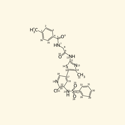 Cc1ccc(C(=O)NCC(=O)Nc2nc(C)c(-c3cnc(Cl)c(NS(=O)(=O)c4ccccc4)c3)s2)cc1